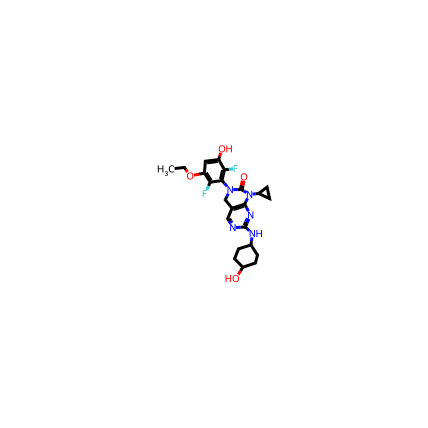 CCOc1cc(O)c(F)c(N2Cc3cnc(NC4CCC(O)CC4)nc3N(C3CC3)C2=O)c1F